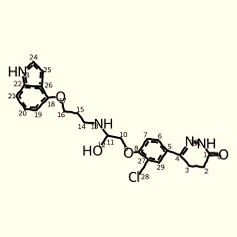 O=C1CCC(c2ccc(OCC(O)NCCCOc3cccc4[nH]ccc34)c(Cl)c2)=NN1